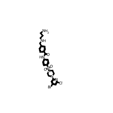 NCCCNCc1ccc(C(=O)Nc2ccc(S(=O)(=O)N3CCN(c4cc(Br)cc(Cl)n4)CC3)cc2)cc1